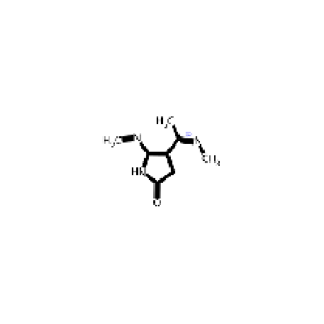 C=NC1NC(=O)CC1/C(C)=N\C